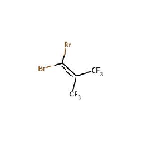 FC(F)(F)C(=C(Br)Br)C(F)(F)F